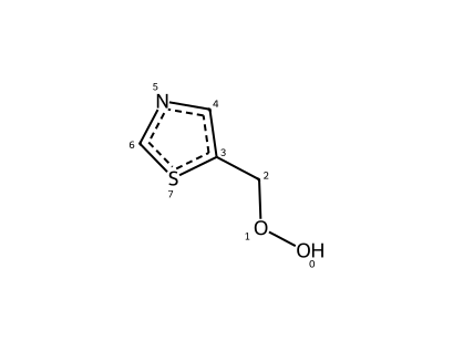 OOCc1cncs1